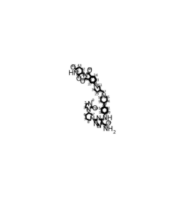 CN1CCN([C@@H]2CCCN(c3nnc(C(N)=O)c(Nc4ccc(C5CCN(CC6CCN(c7ccc8c(c7)C(=O)N(C7CCC(=O)NC7=O)C8=O)C6)CC5)cc4)n3)C2)C1=O